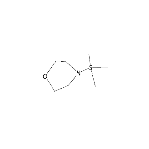 CS(C)(C)N1CCOCC1